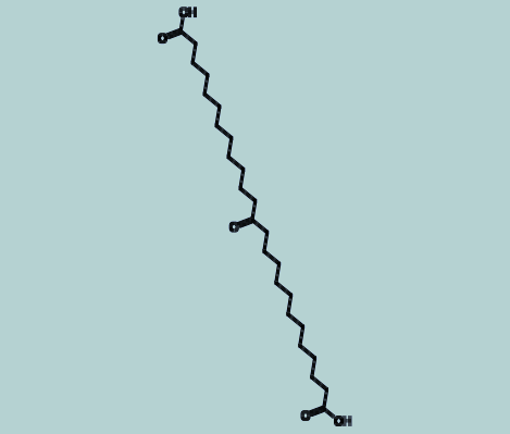 O=C(O)CCCCCCCCCCCC(=O)CCCCCCCCCCCC(=O)O